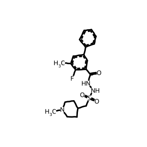 Cc1cc(-c2ccccc2)cc(C(=O)NNS(=O)(=O)CC2CCN(C)CC2)c1F